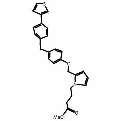 COC(=O)CCCn1cccc1COc1ccc(Cc2ccc(-c3ccsc3)cc2)cc1